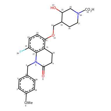 COc1ccc(CN2C(=O)CCc3c(OCC4CCN(C(=O)O)CC4O)ccc(F)c32)cc1